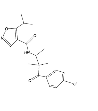 CC(C)c1oncc1C(=O)NC(C)C(C)(C)C(=O)c1ccc(Cl)cc1